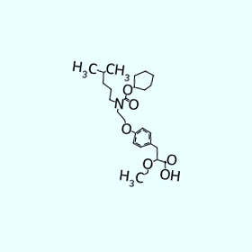 CCOC(Cc1ccc(OCCN(CCCC(C)C)C(=O)OC2CCCCC2)cc1)C(=O)O